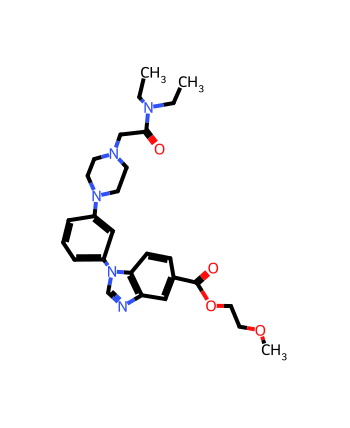 CCN(CC)C(=O)CN1CCN(c2cccc(-n3cnc4cc(C(=O)OCCOC)ccc43)c2)CC1